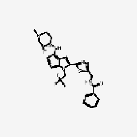 CN1CC[C@@H](Nc2cccc3c2cc(-c2nnc(CNC(=O)c4ccccc4)s2)n3CC(F)(F)F)[C@@H](F)C1